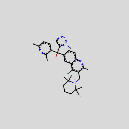 COc1nc2ccc(C(O)(c3ccc(C)nc3C)c3cnnn3C)cc2c(Cl)c1CN1C(C)(C)CCCC1(C)C